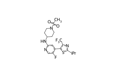 CC(C)c1nc(C(F)(F)F)c(-c2cc(NC3CCN(S(C)(=O)=O)CC3)ncc2F)s1